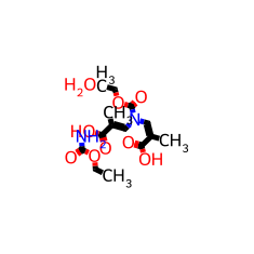 CCOC(=O)N(C=C(C)C(=O)O)C=C(C)C(=O)O.CCOC(N)=O.O